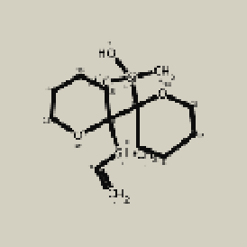 C=C[SiH](C)C1(C2([Si](C)(C)O)CCCCO2)CCCCO1